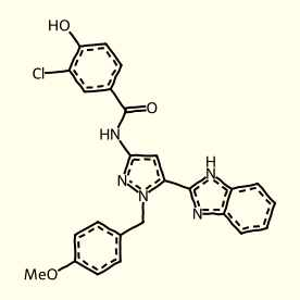 COc1ccc(Cn2nc(NC(=O)c3ccc(O)c(Cl)c3)cc2-c2nc3ccccc3[nH]2)cc1